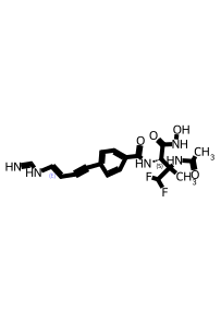 CC(=O)NC(C)(C(F)F)[C@H](NC(=O)c1ccc(C#C/C=C/NC=N)cc1)C(=O)NO